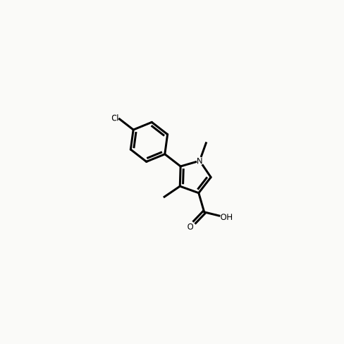 Cc1c(C(=O)O)cn(C)c1-c1ccc(Cl)cc1